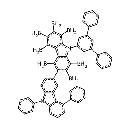 Bc1c(B)c(B)c2c(c1B)c1c(B)c(-c3ccc4c(c3)c3c(-c5ccccc5)cccc3n4-c3ccccc3)c(B)c(B)c1n2-c1cc(-c2ccccc2)cc(-c2ccccc2)c1